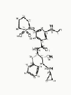 CCNc1cc(C(=O)N[C@@H](Cc2ccccc2)[C@H](O)CNC2CC2)cc(N2CCCCS2(=O)=O)c1